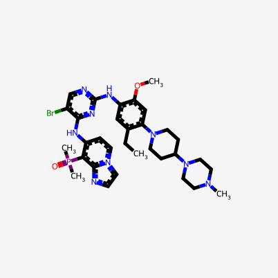 CCc1cc(Nc2ncc(Br)c(Nc3ccn4ccnc4c3P(C)(C)=O)n2)c(OC)cc1N1CCC(N2CCN(C)CC2)CC1